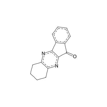 O=C1c2ccccc2-c2nc3c(nc21)CCCC3